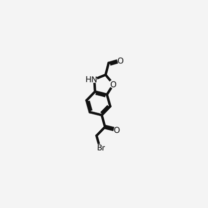 O=CC1Nc2ccc(C(=O)CBr)cc2O1